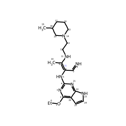 CCOc1nc(N/C(C=N)=C(\C)NCCN2CCCC(C)C2)nc2[nH]ccc12